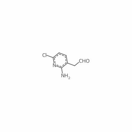 Nc1nc(Cl)ccc1CC=O